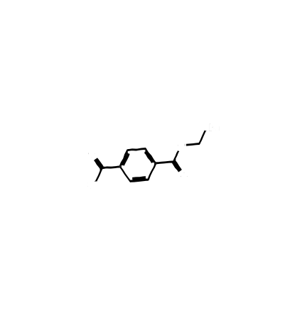 CCC(C)COC(=O)c1ccc(C(=O)Cl)cc1